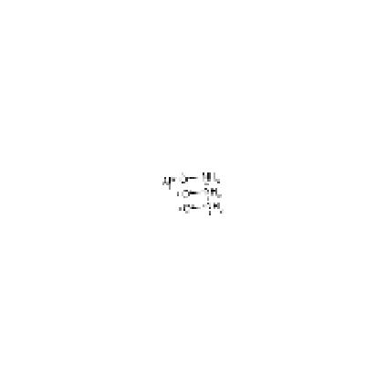 N[O-].N[O-].N[O-].[Al+3]